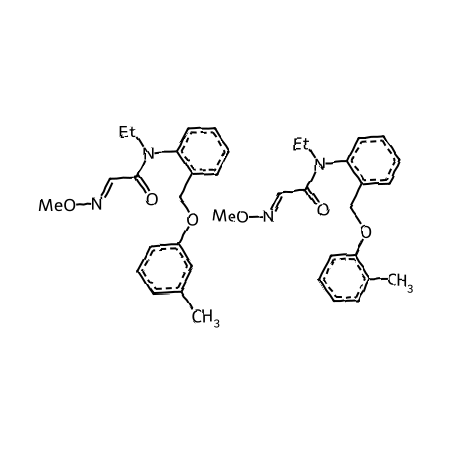 CCN(C(=O)C=NOC)c1ccccc1COc1cccc(C)c1.CCN(C(=O)C=NOC)c1ccccc1COc1ccccc1C